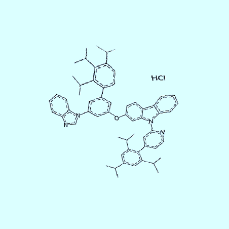 CC(C)c1cc(C(C)C)c(-c2ccnc(-n3c4ccccc4c4ccc(Oc5cc(-c6ccc(C(C)C)c(C(C)C)c6C(C)C)cc(-n6cnc7ccccc76)c5)cc43)c2)c(C(C)C)c1.Cl